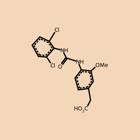 COc1cc(CC(=O)O)ccc1NC(=O)Nc1c(Cl)cccc1Cl